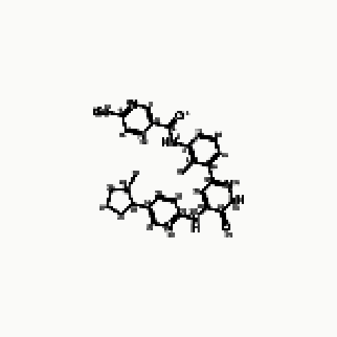 Cc1c(NC(=O)c2cnc(C(C)(C)C)cn2)cccc1-c1cc(Nc2ccc(C3CCCN3C)cn2)c(=O)[nH]n1